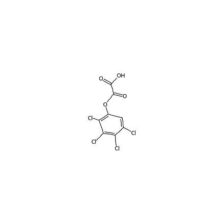 O=C(O)C(=O)Oc1cc(Cl)c(Cl)c(Cl)c1Cl